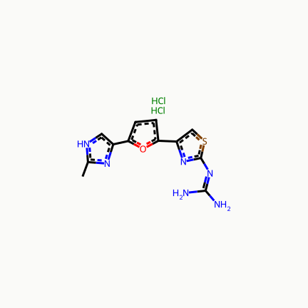 Cc1nc(-c2ccc(-c3csc(N=C(N)N)n3)o2)c[nH]1.Cl.Cl